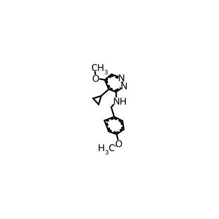 COc1ccc(CNc2nncc(OC)c2C2CC2)cc1